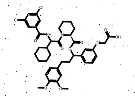 COc1ccc(CCC(OC(=O)[C@@H]2CCCCN2C(=O)C(NC(=O)c2cc(Cl)cc(Cl)c2)C2CCCCC2)c2cccc(OCC(=O)O)c2)cc1OC